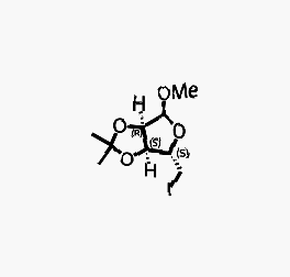 COC1O[C@H](CI)[C@H]2OC(C)(C)O[C@@H]12